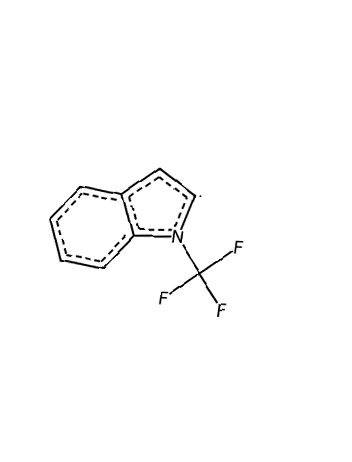 FC(F)(F)n1[c]cc2ccccc21